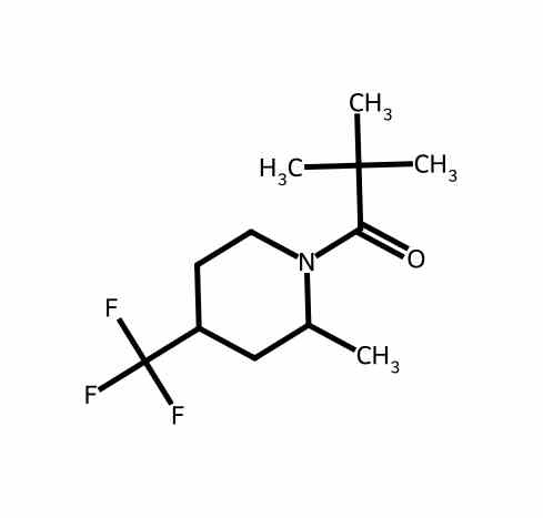 CC1CC(C(F)(F)F)CCN1C(=O)C(C)(C)C